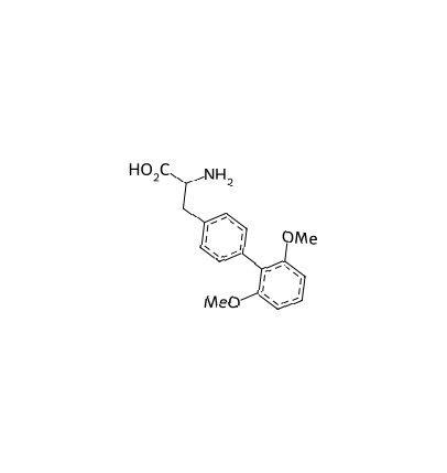 COc1cccc(OC)c1-c1ccc(CC(N)C(=O)O)cc1